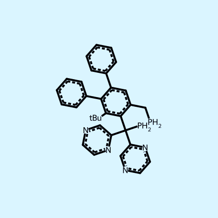 CC(C)(C)c1c(-c2ccccc2)c(-c2ccccc2)cc(CP)c1C(P)(c1cnccn1)c1cnccn1